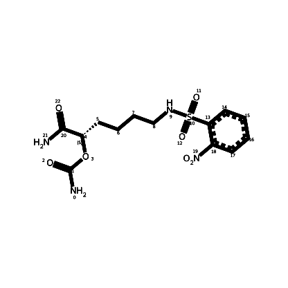 NC(=O)O[C@@H](CCCCNS(=O)(=O)c1ccccc1[N+](=O)[O-])C(N)=O